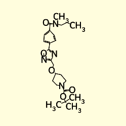 CCCN(C)C(=O)c1ccc(-c2nc(COC3CCN(C(=O)OC(C)(C)C)CC3)no2)cc1